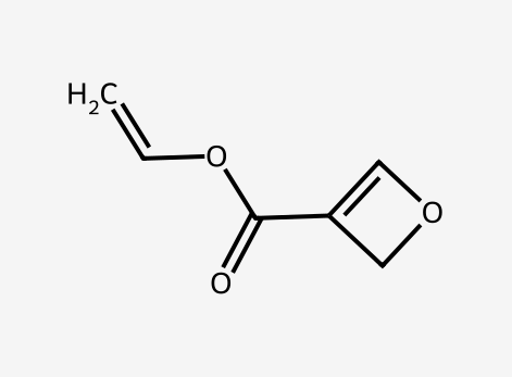 C=COC(=O)C1=COC1